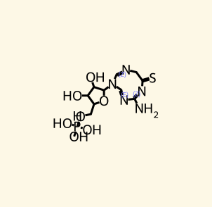 NC1=N/C(=S)C/N=C\N(C2OC(CO[PH](O)(O)O)C(O)C2O)\C=N\1